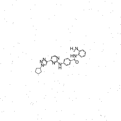 Nc1ccccc1NC(=O)c1ccc(Nc2nccc(-c3cn(C4CCCC4)nn3)n2)cc1